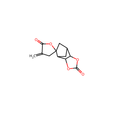 C=C1CC2(CC3CC2C2OC(=O)OC32)OC1=O